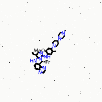 C=Cc1cnc(Nc2cc(C)c(N3CCC(N4CCN(C)CC4)CC3)cc2OC)nc1Nc1ccc2nccnc2c1CC(C)C